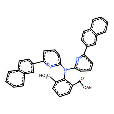 COC(=O)c1cccc(C(=O)O)c1N(c1cccc(-c2ccc3ccccc3c2)n1)c1cccc(-c2ccc3ccccc3c2)n1